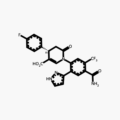 NC(=O)c1cc(-c2cc[nH]n2)c(N2C=C(C(=O)O)[C@H](c3ccc(F)cc3)CC2=O)cc1C(F)(F)F